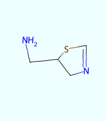 NCC1CN=CS1